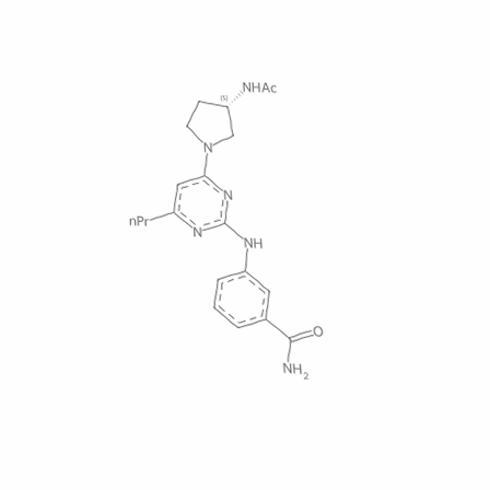 CCCc1cc(N2CC[C@H](NC(C)=O)C2)nc(Nc2cccc(C(N)=O)c2)n1